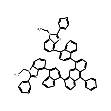 CCn1c(-c2ccccc2)nc2c(-c3ccc(-c4cccc5c(-c6ccccc6)c6cccc(-c7ccc(-c8cccc9c8nc(-c8ccccc8)n9CC)c8ccccc78)c6cc45)c4ccccc34)cccc21